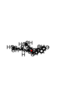 C[C@@H]1CC2C3CCC4=CC(=O)C=C[C@]4(C)[C@@]3(F)[C@@H](O)C[C@]2(C)[C@@]1(OC(=O)CCCON(O)O)C(=O)COC(=O)CCNC(=O)CCCON(O)O